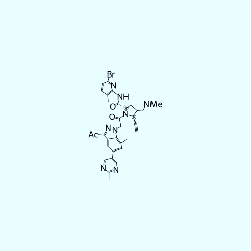 C#C[C@@H]1C(CNC)C[C@@H](C(=O)Nc2nc(Br)ccc2C)N1C(=O)Cn1nc(C(C)=O)c2cc(-c3cnc(C)nc3)cc(C)c21